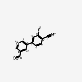 N#Cc1ccc(-c2cncc(C=O)c2)cc1F